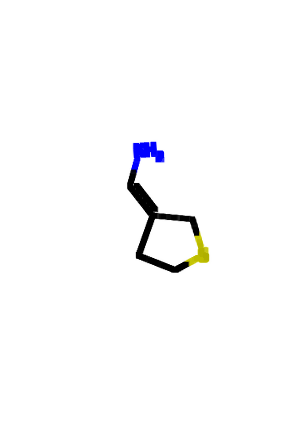 N/C=C1/CCSC1